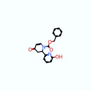 O=C1C=CN(C(=O)OCc2ccccc2)C(c2cccc(O)n2)C1